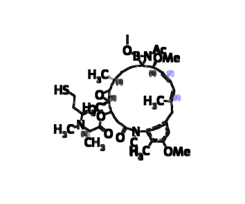 COc1cc2cc(c1C)N(C)C(=O)CC(OC(=O)[C@H](C)N(C)C(=O)CCS)[C@]1(C)OC1[C@H](C)CCC1(B(OI)N1C(C)=O)[C@@H](OC)/C=C\C=C(/C)C2